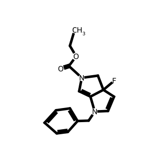 CCOC(=O)N1C=C2N(Cc3ccccc3)C=CC2(F)C1